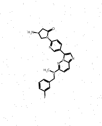 CN(Cc1cccc(F)c1)c1ccc2ncc(-c3ccc(N4C[C@@H](N)CC4=O)nc3)n2n1